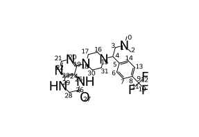 CN(C)CC(c1ccc(C(F)(F)F)cc1)N1CCN(c2ncnc3c2NC(=O)CN3)CC1